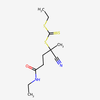 CCNC(=O)CCC(C)(C#N)SC(=S)SCC